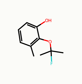 Cc1cccc(O)c1OC(C)(C)F